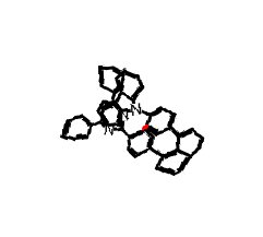 c1ccc(-c2cc(-c3ccccc3)nc(-c3ccc(-c4cccc5cccc(-c6ccc(-n7c8ccccc8c8ccccc87)cc6)c45)cc3)n2)cc1